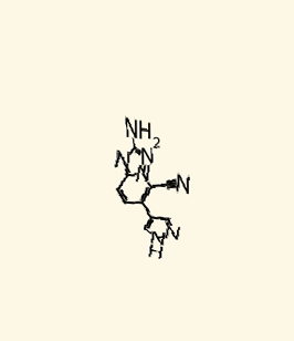 N#Cc1c(-c2cn[nH]c2)ccc2nc(N)nn12